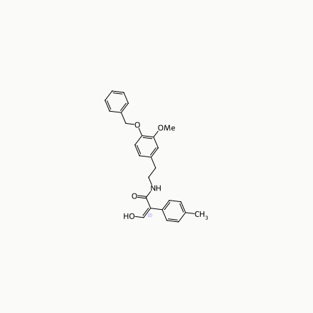 COc1cc(CCNC(=O)/C(=C\O)c2ccc(C)cc2)ccc1OCc1ccccc1